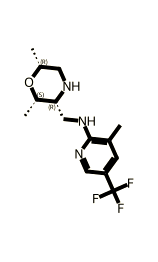 Cc1cc(C(F)(F)F)cnc1NC[C@H]1NC[C@@H](C)O[C@H]1C